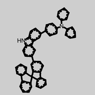 c1ccc(N(c2ccccc2)c2ccc(-c3ccc4[nH]c5ccc(-c6ccc7c(c6)C6(c8ccccc8-c8ccccc86)c6ccccc6-7)cc5c4c3)cc2)cc1